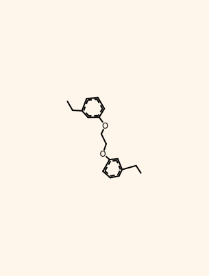 CCc1cccc(OCCOc2cccc(CC)c2)c1